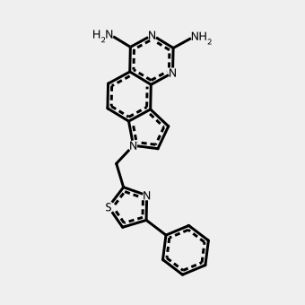 Nc1nc(N)c2ccc3c(ccn3Cc3nc(-c4ccccc4)cs3)c2n1